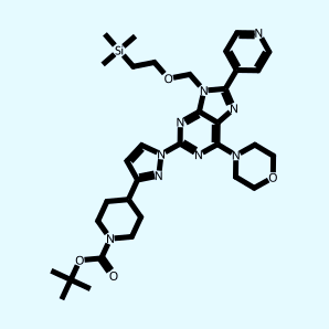 CC(C)(C)OC(=O)N1CCC(c2ccn(-c3nc(N4CCOCC4)c4nc(-c5ccncc5)n(COCC[Si](C)(C)C)c4n3)n2)CC1